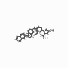 C[C@@]12CC=C3C=C4CCC(N5CC(O)C[C@H]5C(=O)O)C[C@]45CC[C@]3(O5)[C@@H]1CCC2c1ccc2ccncc2c1